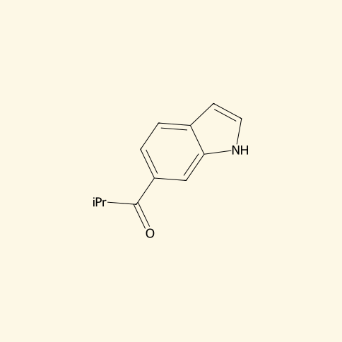 CC(C)C(=O)c1ccc2cc[nH]c2c1